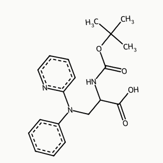 CC(C)(C)OC(=O)NC(CN(c1ccccc1)c1ccccn1)C(=O)O